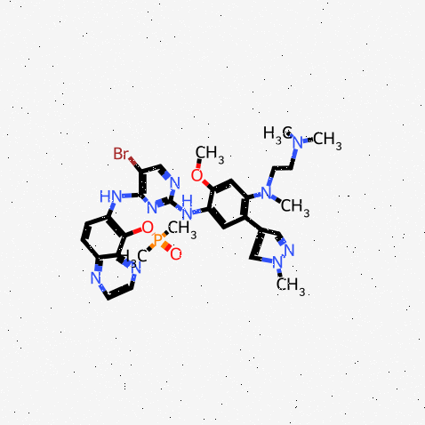 COc1cc(N(C)CCN(C)C)c(-c2cnn(C)c2)cc1Nc1ncc(Br)c(Nc2ccc3nccnc3c2OP(C)(C)=O)n1